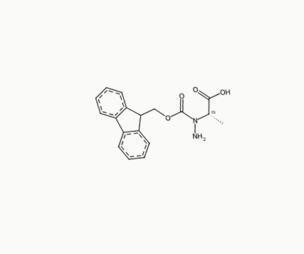 C[C@@H](C(=O)O)N(N)C(=O)OCC1c2ccccc2-c2ccccc21